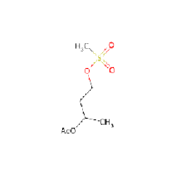 CC(=O)OC(C)CCOS(C)(=O)=O